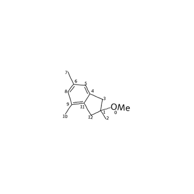 COC1(C)Cc2cc(C)cc(C)c2C1